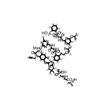 C#CCN1C(=O)COc2cc(F)c(/N=c3\snc4n3CC(C)(C)C4)cc21.COc1nc(C)nc(NC(=O)NS(=O)(=O)c2ccccc2CCC(F)(F)F)n1.C[S+](C)C.O=C(Nc1nc(OC(F)F)cc(OC(F)F)n1)NS(=O)(=O)c1ccccc1C(=O)O.O=C(O)CNCP(=O)([O-])O